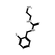 C=C(NCCN)NCc1ccccc1F